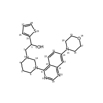 OC(CN1CCCN(c2ncnc3cc(N4CCOCC4)ccc23)C1)c1cccs1